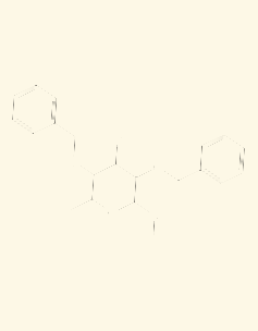 CCSC1OC(C)C(OCc2ccccc2)C(O)C1OCc1ccccc1